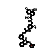 COc1cc(NC(=O)COc2cccc([C@@H](NC(=O)OC3CN4CCC3CC4)c3ccccc3)c2)ccc1CNCC(O)c1ccc(O)c2[nH]c(=O)ccc12